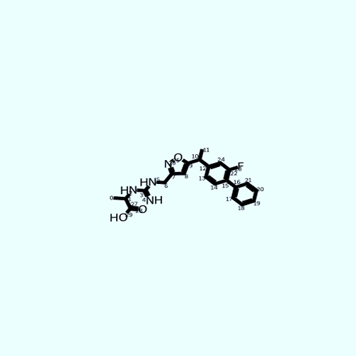 CC(NC(=N)NCc1cc(C(C)c2ccc(-c3ccccc3)c(F)c2)on1)C(=O)O